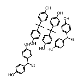 CC(C)(c1ccc(O)cc1)c1ccc(O)cc1.CC(C)(c1ccc(O)cc1)c1ccc(O)cc1.CCC(c1ccc(O)cc1)c1ccc(O)cc1.CCC(c1ccc(O)cc1)c1ccc(O)cc1